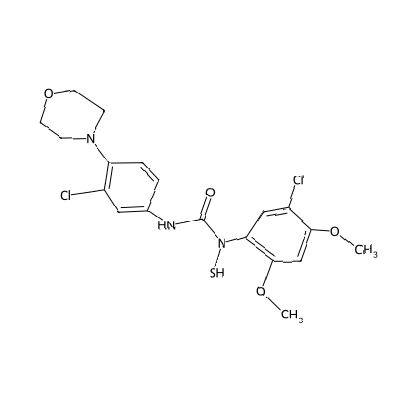 COc1cc(OC)c(N(S)C(=O)Nc2ccc(N3CCOCC3)c(Cl)c2)cc1Cl